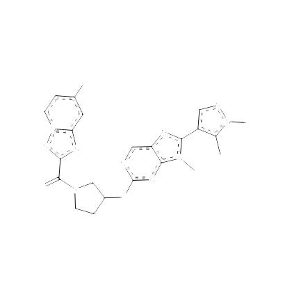 CCn1ncc(-c2nc3cnc(OC4CCN(C(=O)c5nc6cc(Cl)ccn6n5)C4)nc3n2C)c1C